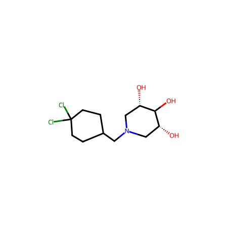 OC1[C@H](O)CN(CC2CCC(Cl)(Cl)CC2)C[C@@H]1O